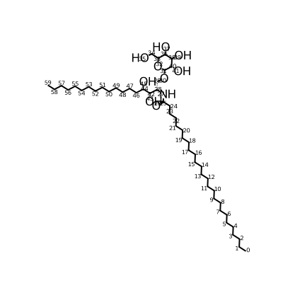 CCCCCCCCCCCCCCCCCCCCCCCCCC(=O)N[C@@H](CO[C@H]1OC(CO)C(O)C(O)[C@@H]1O)[C@H](O)[C@H](O)CCCCCCCCCCCCCC